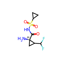 N[C@]1(C(=O)NS(=O)(=O)C2CC2)CC1C(F)F